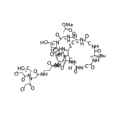 CC[C@H](C)[C@@H]1NC(=O)CNC(=O)[C@@H]2Cc3c([nH]c4ccc(NC(=O)CCNC(=O)CN(C(=O)CCl)N(CC(=O)O)C(=O)CCl)cc34)SC[C@H](NC(=O)CNC1=O)C(=O)N[C@@H](CC(=O)OC)C(=O)N1C[C@H](O)C[C@H]1C(=O)N[C@@H]([C@@H](C)CC)C(=O)N2